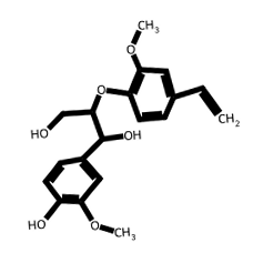 C=Cc1ccc(OC(CO)C(O)c2ccc(O)c(OC)c2)c(OC)c1